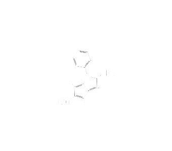 CC(C)(C)C1=CC2=CC(C(C)(C)C)P(c3ccccc3)C2=C1